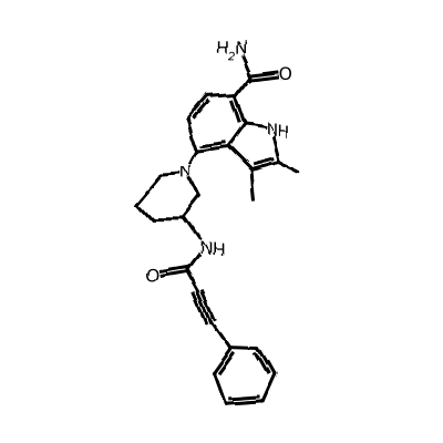 Cc1[nH]c2c(C(N)=O)ccc(N3CCCC(NC(=O)C#Cc4ccccc4)C3)c2c1C